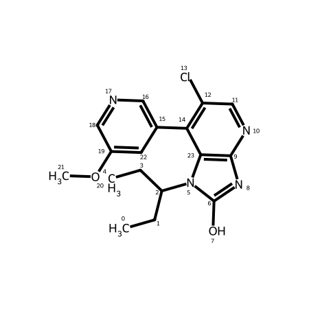 CCC(CC)n1c(O)nc2ncc(Cl)c(-c3cncc(OC)c3)c21